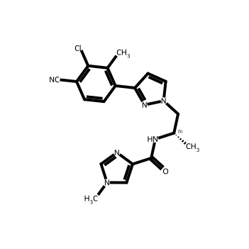 Cc1c(-c2ccn(C[C@H](C)NC(=O)c3cn(C)cn3)n2)ccc(C#N)c1Cl